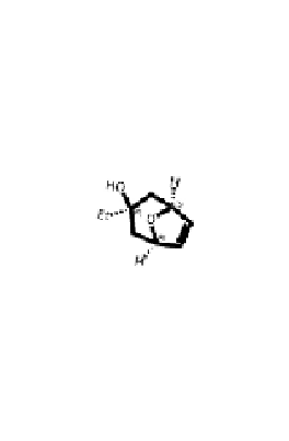 CC[C@]1(O)C[C@H]2C=C[C@@H](C1)O2